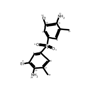 CCc1cc(S(=O)(=O)c2cc(C)c(N)c(CC)c2)cc(C)c1N